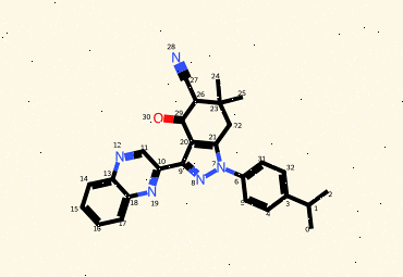 CC(C)c1ccc(-n2nc(-c3cnc4ccccc4n3)c3c2CC(C)(C)C(C#N)C3=O)cc1